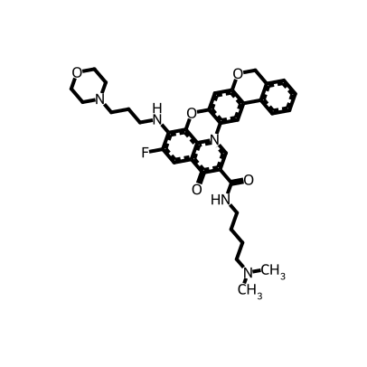 CN(C)CCCCNC(=O)c1cn2c3c(c(NCCCN4CCOCC4)c(F)cc3c1=O)Oc1cc3c(cc1-2)-c1ccccc1CO3